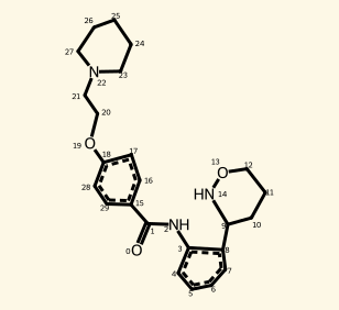 O=C(Nc1ccccc1C1CCCON1)c1ccc(OCCN2CCCCC2)cc1